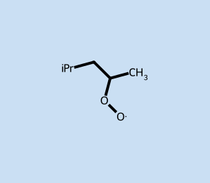 CC(C)CC(C)O[O]